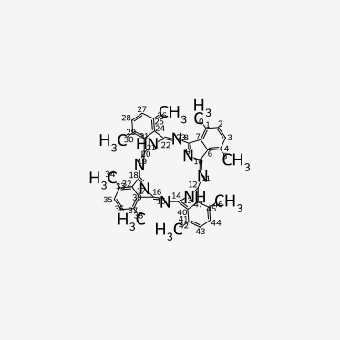 Cc1ccc(C)c2c1-c1nc-2nc2[nH]c(nc3nc(nc4[nH]c(n1)c1c(C)ccc(C)c41)-c1c(C)ccc(C)c1-3)c1c(C)ccc(C)c21